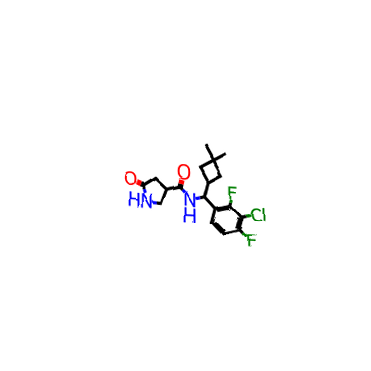 CC1(C)CC(C(NC(=O)C2CNC(=O)C2)c2ccc(F)c(Cl)c2F)C1